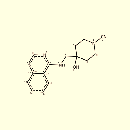 N#CN1CCC(O)(CNc2ncnc3ccccc23)CC1